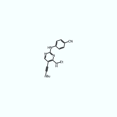 CCCCC#Cc1cnc(Nc2ccc(C#N)cc2)nc1NCC